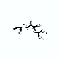 C=CC(=O)OCC(C)C(=O)OC(C(F)(F)F)C(F)(F)F